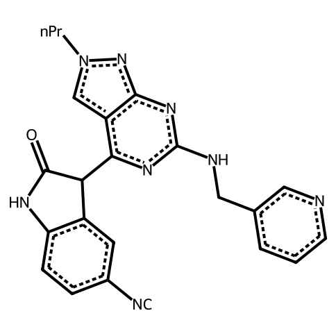 [C-]#[N+]c1ccc2c(c1)C(c1nc(NCc3cccnc3)nc3nn(CCC)cc13)C(=O)N2